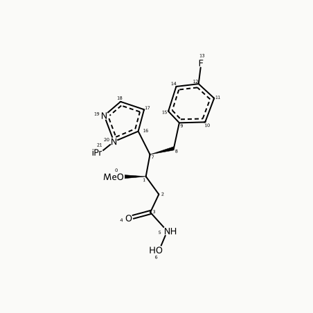 CO[C@H](CC(=O)NO)[C@H](Cc1ccc(F)cc1)c1ccnn1C(C)C